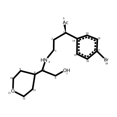 CC(=O)[C@H](CCNC(CO)C1CCOCC1)c1ccc(Br)cc1